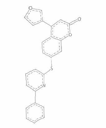 O=c1cc(-c2ccoc2)c2ccc(Sc3cccc(-c4ccccc4)n3)cc2o1